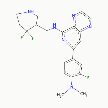 CN(C)c1ccc(-c2cc3nccnc3c(NCC3CNCCC3(F)F)n2)cc1F